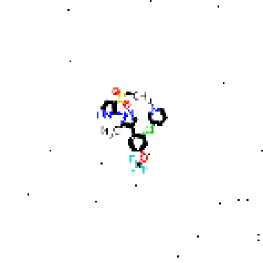 CCS(=O)(=O)c1cc[nH]c1-n1ncc(-c2ccc(OC(F)(F)F)cc2Cl)c1C.c1ccncc1